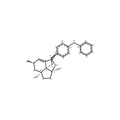 C[C@H]1C=C2C(=O)O[C@H]3CC[C@@H](C1)[C@@]23OCc1ccc(Oc2ccccc2)nc1